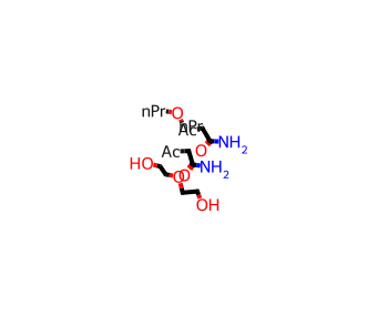 CC(=O)CC(N)=O.CC(=O)CC(N)=O.CCCOCCC.OCCOCCO